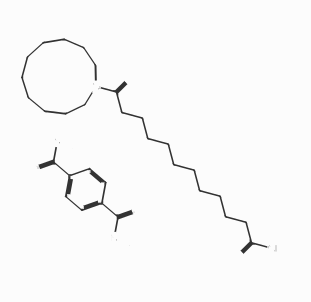 NC(=O)CCCCCCCCCCC(=O)N1CCCCCCCCCC1.NC(=O)c1ccc(C(N)=O)cc1